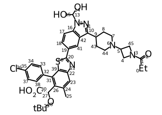 CCC(=O)N1CC(N2CCC(c3nn(C(O)O)c4ccc(-c5nc6cc(C)c([C@H](OC(C)(C)C)C(=O)O)c(-c7ccc(Cl)cc7)c6s5)cc34)CC2)C1